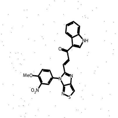 COc1ccc(-n2c(C=CC(=O)c3c[nH]c4ccccc34)nc3csnc32)cc1[N+](=O)[O-]